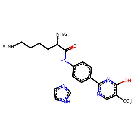 CC(=O)NCCCCC(NC(C)=O)C(=O)Nc1ccc(-c2ncc(C(=O)O)c(O)n2)cc1.c1c[nH]cn1